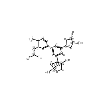 Nc1ncc(-c2cc(N3C[C@@H]4CC[C@H]3CO4)nc(N3C[C@@H](F)[C@@H](F)C3)n2)cc1OC(F)F